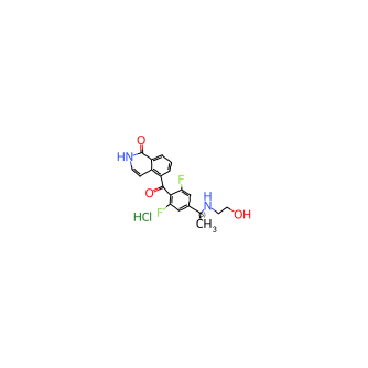 C[C@H](NCCO)c1cc(F)c(C(=O)c2cccc3c(=O)[nH]ccc23)c(F)c1.Cl